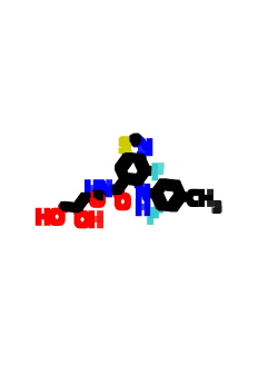 Cc1ccc(Nc2c(C(=O)NOCC(O)CO)cc3scnc3c2F)c(F)c1